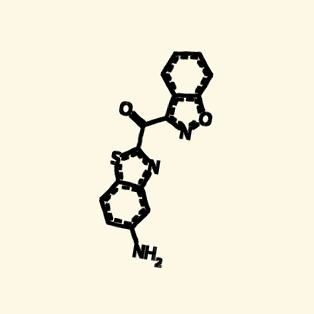 Nc1ccc2sc(C(=O)c3noc4ccccc34)nc2c1